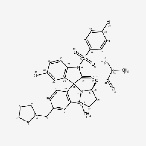 COc1cc(CN2CCCC2)ccc1C1(N2CCC[C@@H]2OC(=O)N(C)C)C(=O)N(S(=O)(=O)c2ccc(Cl)cc2)c2ccc(Cl)cc21